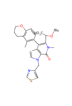 Cc1c(-c2c(C(OC(C)(C)C)C(=O)O)n(C)c(=O)c3c2ccn3Cc2cscn2)ccc2c1CCCO2